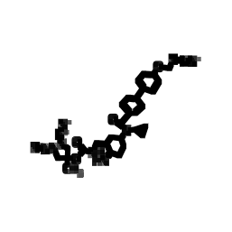 CC(CN=[N+]=[N-])(CN=[N+]=[N-])OC(=O)N/C=C1/CC(N(C(=O)c2ccc(-c3ccc(OCN=[N+]=[N-])cc3)cc2)C2CC2)CCC1=N